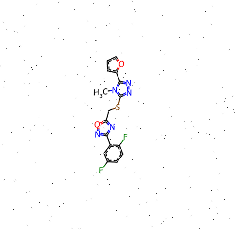 Cn1c(SCc2nc(-c3cc(F)ccc3F)no2)nnc1-c1ccco1